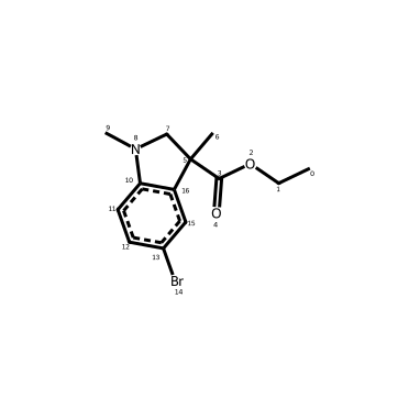 CCOC(=O)C1(C)CN(C)c2ccc(Br)cc21